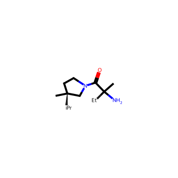 CCC(C)(N)C(=O)N1CC[C@](C)(C(C)C)C1